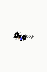 Cc1c(N(C)c2ccc(C(=O)O)cc2)sc2c1C(C)(C)CCC2(C)C